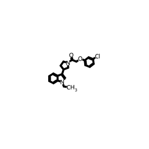 CCn1cc(C2CCN(C(=O)COc3cccc(Cl)c3)C2)c2ccccc21